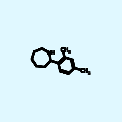 Cc1ccc(C2CCCCCN2)c(C)c1